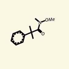 CON(C)C(=O)C(C)(C)c1ccccc1